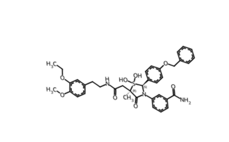 CCOc1cc(CCNC(=O)C[C@]2(C)C(=O)N(c3cccc(C(N)=O)c3)[C@H](c3ccc(OCc4ccccc4)cc3)S2(O)O)ccc1OC